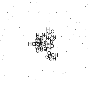 Nc1nc2c(ncn2[C@@H]2O[C@H](COP(=O)(O)O)[C@@H](O)[C@H]2O)c(=O)[nH]1.O=P(O)(O)OP(=O)(O)OP(=O)(O)O